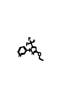 CCOc1cc(C(F)(F)F)n(-c2cccnc2)n1